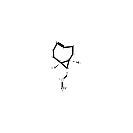 CCCOC[C@H]1[C@@H]2CC/C=C/CC[C@@H]21